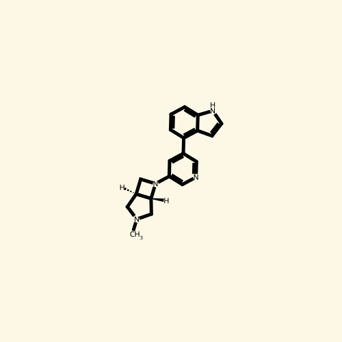 CN1C[C@H]2CN(c3cncc(-c4cccc5[nH]ccc45)c3)[C@@H]2C1